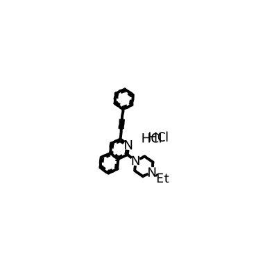 CCN1CCN(c2nc(C#Cc3ccccc3)cc3ccccc23)CC1.Cl.Cl